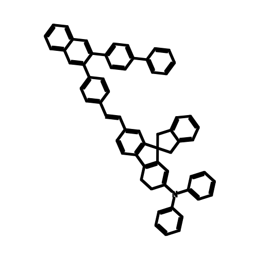 C1=C(N(c2ccccc2)c2ccccc2)CCC2=C1C1(Cc3ccccc3C1)c1cc(/C=C/c3ccc(-c4cc5ccccc5cc4-c4ccc(-c5ccccc5)cc4)cc3)ccc12